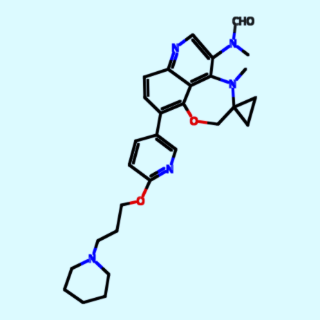 CN(C=O)c1cnc2ccc(-c3ccc(OCCCN4CCCCC4)nc3)c3c2c1N(C)C1(CC1)CO3